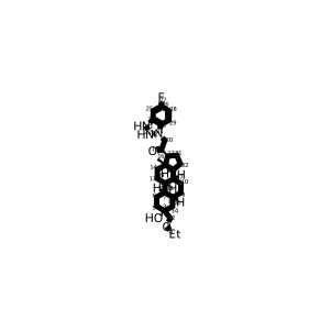 CCOC[C@@]1(O)CC[C@H]2[C@H](CC[C@@H]3[C@@H]2CC[C@]2(C)[C@@H](C(=O)CN4NNc5cc(F)ccc54)CC[C@@H]32)C1